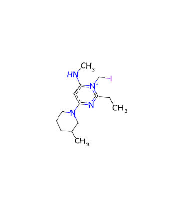 CCc1nc(N2CCCC(C)C2)cc(NC)[n+]1CI